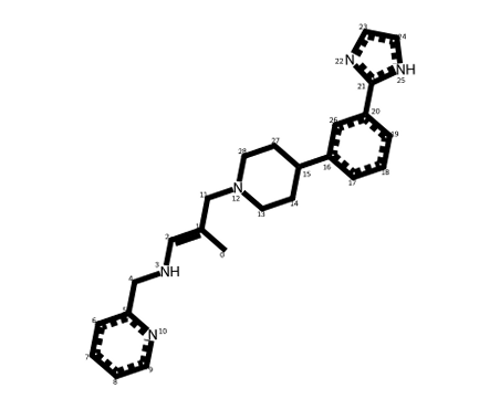 C/C(=C\NCc1ccccn1)CN1CCC(c2cccc(-c3ncc[nH]3)c2)CC1